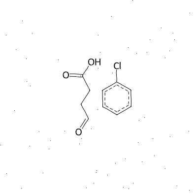 Clc1ccccc1.O=CCCC(=O)O